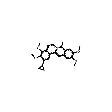 COc1cc2cc3c4cc(C5CC5)c(OC)c(OC)c4cc[n+]3c(C)c2cc1OC